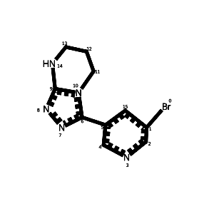 Brc1cncc(-c2nnc3n2CCCN3)c1